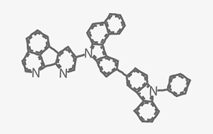 c1ccc(-n2c3ccccc3c3cc(-c4ccc5c(c4)c4c6ccccc6ccc4n5-c4cnc5c(c4)-c4cccc6ccnc-5c46)ccc32)cc1